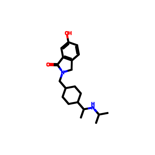 CC(C)NC(C)C1CCC(CN2Cc3ccc(O)cc3C2=O)CC1